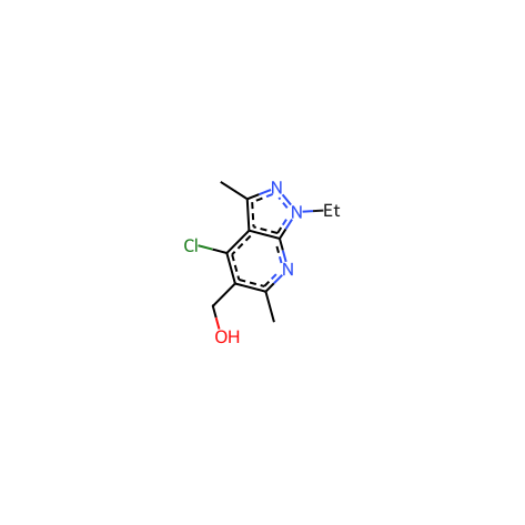 CCn1nc(C)c2c(Cl)c(CO)c(C)nc21